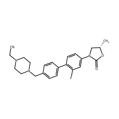 C[C@H]1CN(c2ccc(-c3ccc(CN4CCN(CC#N)CC4)cc3)c(F)c2)C(=O)O1